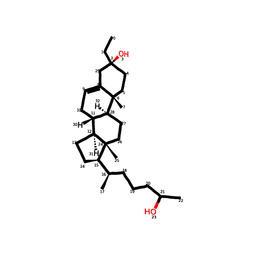 CC[C@]1(O)CC[C@@]2(C)C(=CC[C@H]3[C@@H]4CC[C@H]([C@H](C)CCCC(C)O)[C@@]4(C)CC[C@@H]32)C1